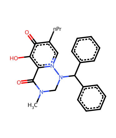 CCCc1cn2c(c(O)c1=O)C(=O)N(C)CN2C(c1ccccc1)c1ccccc1